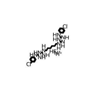 F.N=C(NCCCCCCNC(=N)NC(=N)Nc1ccc(Cl)cc1)NC(=N)Nc1ccc(Cl)cc1.[H+].[H+]